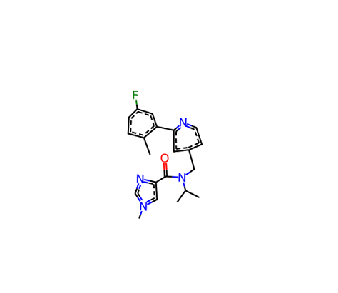 Cc1ccc(F)cc1-c1cc(CN(C(=O)c2cn(C)cn2)C(C)C)ccn1